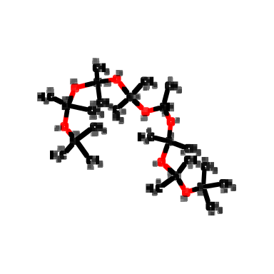 C[SiH](O[Si](C)(C)O[Si](C)(C)O[Si](C)(C)C)O[Si](C)(C)O[Si](C)(C)O[Si](C)(C)O[Si](C)(C)C